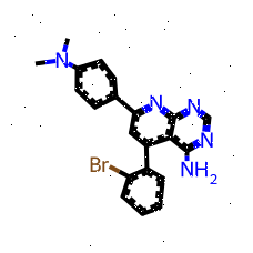 CN(C)c1ccc(-c2cc(-c3ccccc3Br)c3c(N)ncnc3n2)cc1